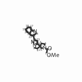 COCC(=O)N1CCC2(CCn3nc(-c4cnc5ccccc5c4)cc32)C1